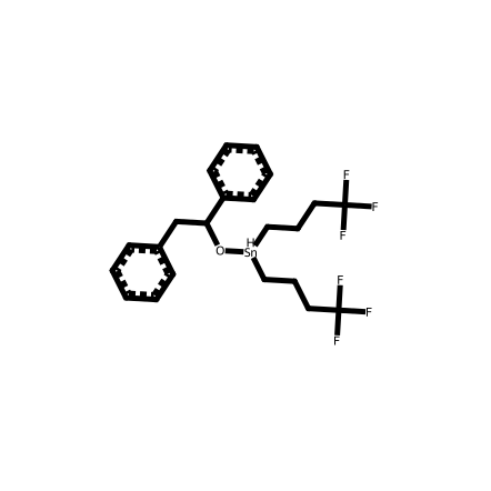 FC(F)(F)CC[CH2][SnH]([CH2]CCC(F)(F)F)[O]C(Cc1ccccc1)c1ccccc1